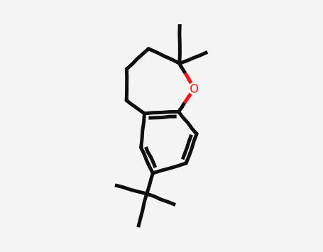 CC1(C)CCCc2cc(C(C)(C)C)ccc2O1